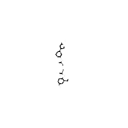 Cc1cc(-c2cccc(NC(=O)COCC(=O)Nc3ccc(Cl)cc3C(=O)O)c2)co1